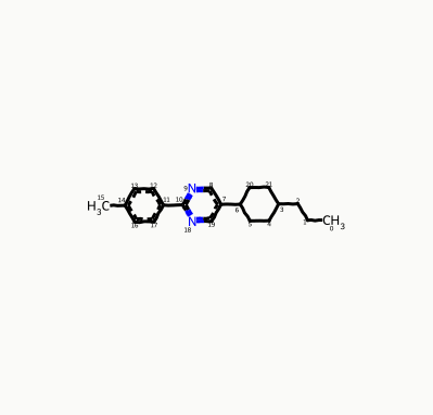 CCCC1CCC(c2cnc(-c3ccc(C)cc3)nc2)CC1